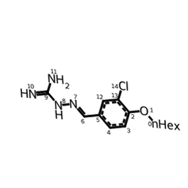 CCCCCCOc1ccc(C=NNC(=N)N)cc1Cl